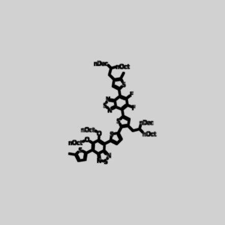 CCCCCCCCCCC(CCCCCCCC)Cc1cc(-c2c(F)c(F)c(-c3cc(CC(CCCCCCCC)CCCCCCCCCC)c(-c4ccc(-c5c(OCCCCCCCC)c(OCCCCCCCC)c(-c6ccc(C)s6)c6nsnc56)s4)s3)c3nsnc23)sc1C